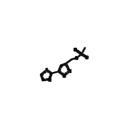 CS(=O)(=O)OCc1cc(-c2nccs2)on1